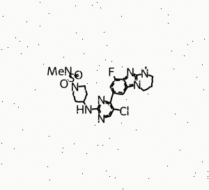 CNS(=O)(=O)N1CCC(Nc2ncc(Cl)c(-c3cc(F)c4nc5n(c4c3)CCCN5C)n2)CC1